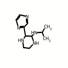 CC(C)NC1NCCNC1c1cnccn1